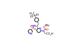 CCC(C)(CC)c1ccc(CC(NS(=O)(=O)c2cccnc2)c2cccc(N(CC(=O)O)C(=O)OC(C)(C)C)n2)cc1